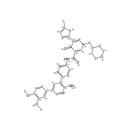 COc1ccc(-c2cnc(N)c(-c3ccc(NC(=O)c4cn(CC5CCOCC5)cc(-c5ccc(C)s5)c4=O)nn3)c2)cc1OC